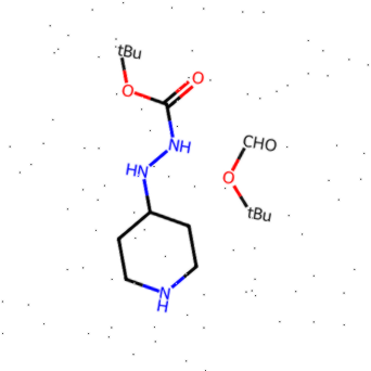 CC(C)(C)OC(=O)NNC1CCNCC1.CC(C)(C)OC=O